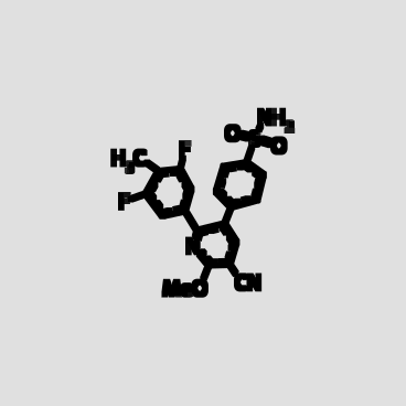 COc1nc(-c2cc(F)c(C)c(F)c2)c(-c2ccc(S(N)(=O)=O)cc2)cc1C#N